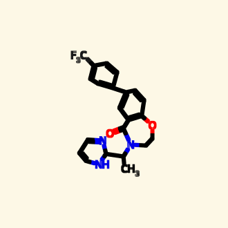 CC(C1N=CC=CN1)N1CCOc2ccc(-c3ccc(C(F)(F)F)cc3)cc2C1=O